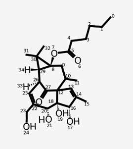 CCCCCC(=O)O[C@@]12CC(C)C34C=C(C)[C@H](O)[C@@]3(O)[C@H](O)C(CO)=C[C@H](C4=O)[C@@H]1C2(C)C